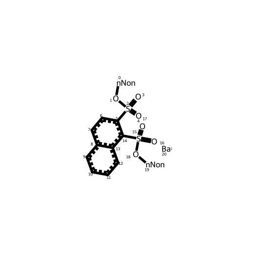 CCCCCCCCCOS(=O)(=O)c1ccc2ccccc2c1S(=O)(=O)OCCCCCCCCC.[Ba]